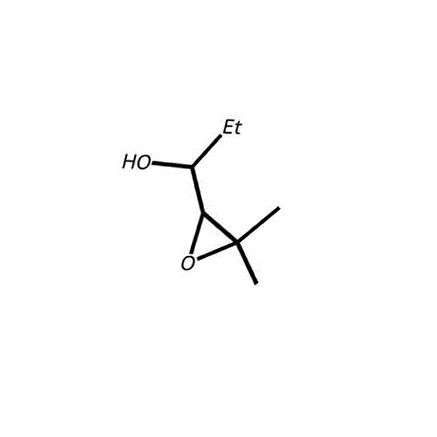 CCC(O)C1OC1(C)C